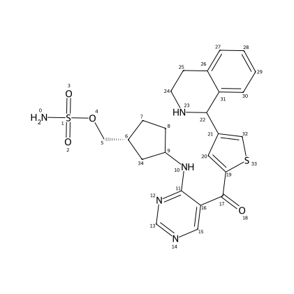 NS(=O)(=O)OC[C@@H]1CCC(Nc2ncncc2C(=O)c2cc(C3NCCc4ccccc43)cs2)C1